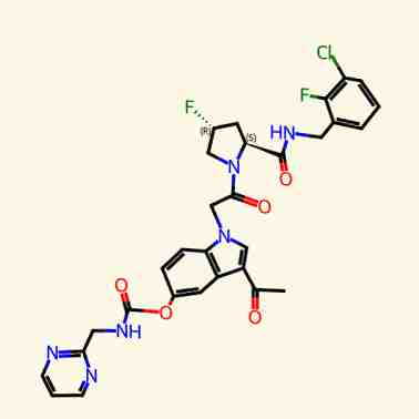 CC(=O)c1cn(CC(=O)N2C[C@H](F)C[C@H]2C(=O)NCc2cccc(Cl)c2F)c2ccc(OC(=O)NCc3ncccn3)cc12